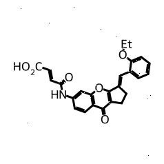 CCOc1ccccc1C=C1CCc2c1oc1cc(NC(=O)C=CC(=O)O)ccc1c2=O